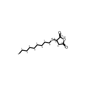 CCCCCCCCCSC1CC(=O)OC1=O